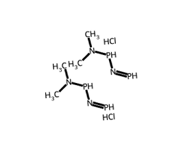 CN(C)PN=P.CN(C)PN=P.Cl.Cl